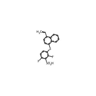 C=Cc1ccc(Sc2ccc(F)c(S(=O)(=O)O)c2F)c2ccccc12